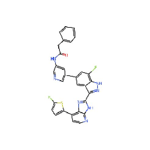 O=C(Cc1ccccc1)Nc1cncc(-c2cc(F)c3[nH]nc(-c4nc5c(-c6ccc(F)s6)ccnc5[nH]4)c3c2)c1